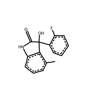 Cc1cccc2c1C(O)(c1ccccc1F)C(=O)N2